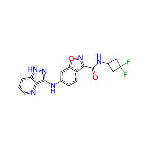 O=C(NC1CC(F)(F)C1)c1noc2cc(Nc3n[nH]c4cccnc34)ccc12